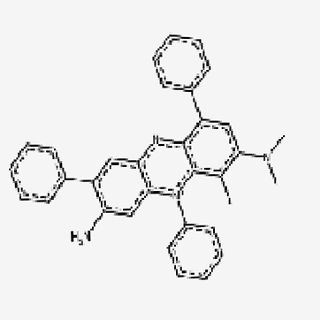 Cc1c(N(C)C)cc(-c2ccccc2)c2nc3cc(-c4ccccc4)c(N)cc3[n+](-c3ccccc3)c12